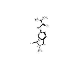 CC(Br)C(=O)Nc1ccc2c(c1)C(=O)N(C)C2